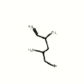 C=CC(C)CC(C)CC(C)C